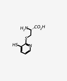 N[C@@H](CSc1ncccc1S)C(=O)O